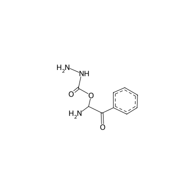 NNC(=O)OC(N)C(=O)c1ccccc1